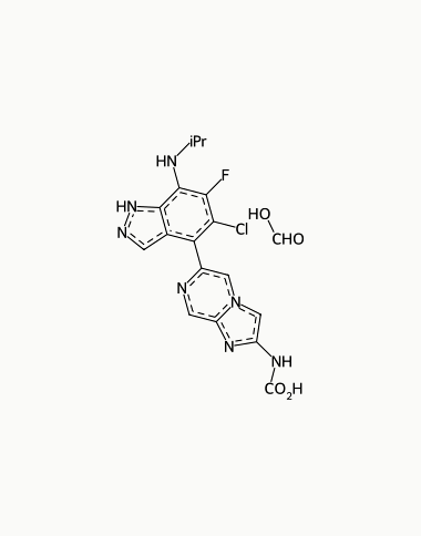 CC(C)Nc1c(F)c(Cl)c(-c2cn3cc(NC(=O)O)nc3cn2)c2cn[nH]c12.O=CO